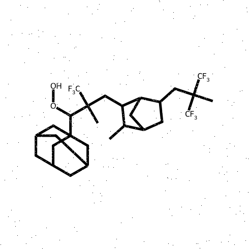 CC1C2CC(CC(C)(C(F)(F)F)C(F)(F)F)C(C2)C1CC(C)(C(OO)C12CC3CC(CC(C3)C1)C2)C(F)(F)F